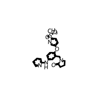 CS(=O)(=O)c1ccc(Oc2ccc(Nc3ccccn3)cc2CN2CCCC2=O)cn1